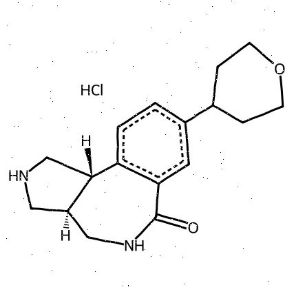 Cl.O=C1NC[C@H]2CNC[C@@H]2c2ccc(C3CCOCC3)cc21